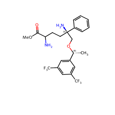 COC(=O)C(N)CC[C@@](N)(CO[C@H](C)c1cc(C(F)(F)F)cc(C(F)(F)F)c1)c1ccccc1